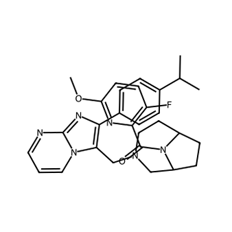 COc1ccc(F)c(C(=O)N2C3CCC2CN(Cc2c(-c4ccc(C(C)C)cc4)nc4ncccn24)CC3)n1